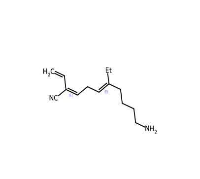 C=C/C(C#N)=C\C/C=C(\CC)CCCCN